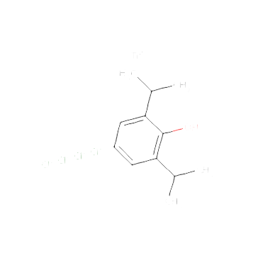 CC(C)c1cccc(C(C)C)c1O.[Cl-].[Cl-].[Cl-].[Cl-].[Ti+4]